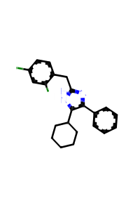 Clc1ccc(Cc2nc(-c3ccccc3)c(C3CCCCC3)[nH]2)c(Cl)c1